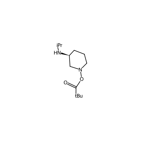 CC(C)N[C@H]1CCCN(OC(=O)C(C)(C)C)C1